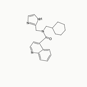 O=C(c1ccnc2ccccc12)N(Cc1ncc[nH]1)CC1CCCCC1